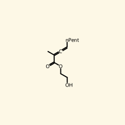 CCCCCC=C=C(C)C(=O)OCCO